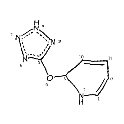 C1=CNC(Oc2nn[nH]n2)C=C1